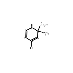 CCOC(=O)C1(N)C=C(Cl)C=CN1